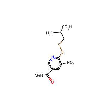 CNC(=O)c1cnc(SSC[C@H](C)C(=O)O)c([N+](=O)[O-])c1